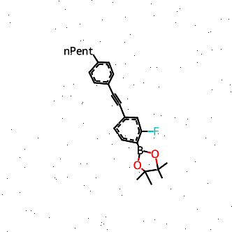 CCCCCc1ccc(C#Cc2ccc(B3OC(C)(C)C(C)(C)O3)c(F)c2)cc1